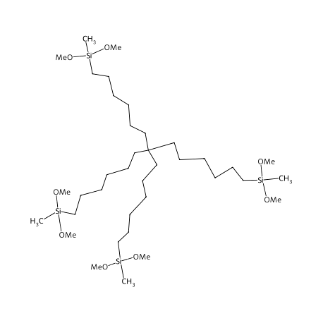 CO[Si](C)(CCCCCCC(CCCCCC[Si](C)(OC)OC)(CCCCCC[Si](C)(OC)OC)CCCCCC[Si](C)(OC)OC)OC